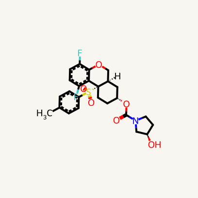 Cc1ccc(S(=O)(=O)[C@@]23CC[C@@H](OC(=O)N4CC[C@@H](O)C4)C[C@@H]2COc2c(F)ccc(F)c23)cc1